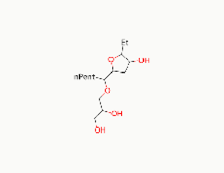 CCCCCC(OCC(O)CO)C1CC(O)C(CC)O1